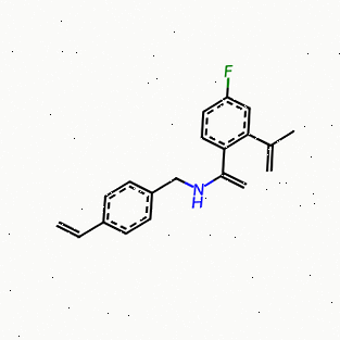 C=Cc1ccc(CNC(=C)c2ccc(F)cc2C(=C)C)cc1